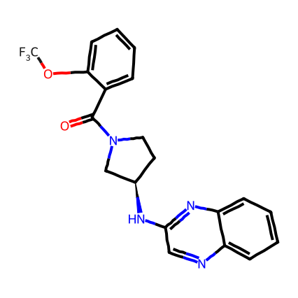 O=C(c1ccccc1OC(F)(F)F)N1CC[C@@H](Nc2cnc3ccccc3n2)C1